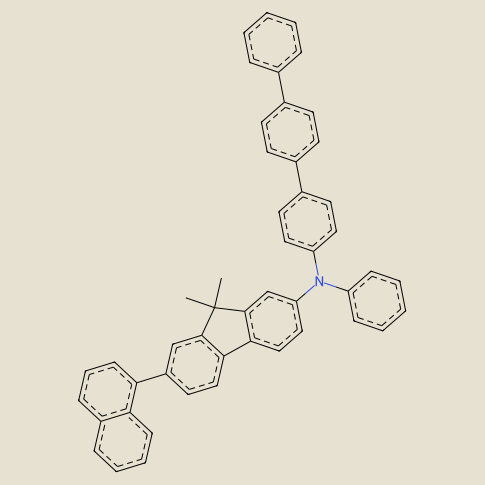 CC1(C)c2cc(-c3cccc4ccccc34)ccc2-c2ccc(N(c3ccccc3)c3ccc(-c4ccc(-c5ccccc5)cc4)cc3)cc21